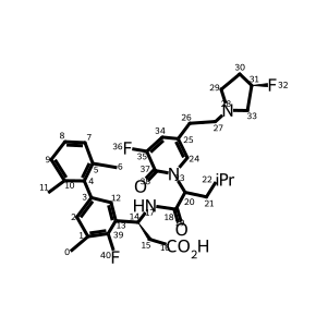 Cc1cc(-c2c(C)cccc2C)cc([C@H](CC(=O)O)NC(=O)C(CC(C)C)n2cc(CCN3CC[C@@H](F)C3)cc(F)c2=O)c1F